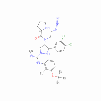 CCc1c(NC(NC#N)N2CC(N(CCN=[N+]=[N-])C(=O)[C@H]3CCCN3)C(c3ccc(Cl)c(Cl)c3)N2)cccc1OC(CC)(CC)CC